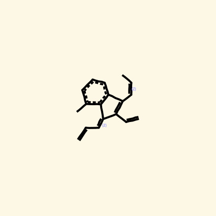 C=C/C=C1C(C=C)=C(/C=C\C)c2cccc(C)c2/1